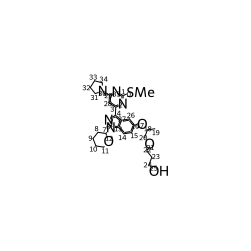 CSc1nc(-c2nn(C3CCCCO3)c3ccc(OC(C)COCCCO)cc23)cc(N2CCCC2)n1